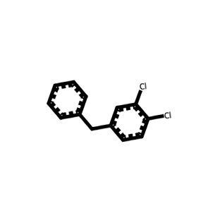 Clc1ccc(Cc2ccccc2)cc1Cl